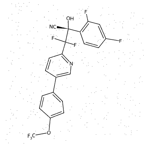 N#C[C@@](O)(c1ccc(F)cc1F)C(F)(F)c1ccc(-c2ccc(OC(F)(F)F)cc2)cn1